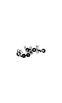 CN1CCCN(Cc2ccc(-c3cccc(-n4c(=O)n([C@H]5CC[C@@H](NC(=O)CCN6CCCCC6)CC5)c(=O)c5cc(F)cnc54)c3)cc2)CC1